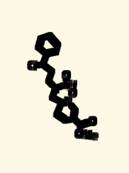 COC(=O)c1ccc(CN(CCC(Cl)c2ccccc2)[SH](=O)=O)nc1